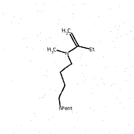 C=C(CC)N(C)CCCCCCCCC